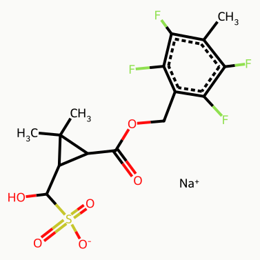 Cc1c(F)c(F)c(COC(=O)C2C(C(O)S(=O)(=O)[O-])C2(C)C)c(F)c1F.[Na+]